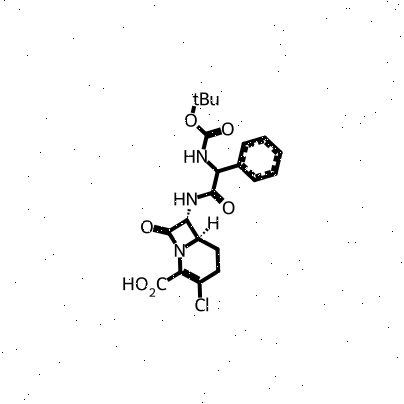 CC(C)(C)OC(=O)NC(C(=O)N[C@H]1C(=O)N2C(C(=O)O)=C(Cl)CC[C@H]12)c1ccccc1